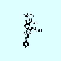 CC(=O)OCC1=C(C(=O)O)N2C(=O)[C@@H](NC(=O)CSc3ccncc3)[C@H]2SC1.[NaH]